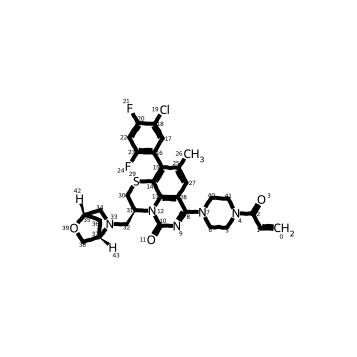 C=CC(=O)N1CCN(c2nc(=O)n3c4c(c(-c5cc(Cl)c(F)cc5F)c(C)cc24)SC[C@@H]3CN2C[C@@H]3C[C@H]2CO3)CC1